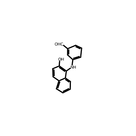 O=Cc1cccc(Nc2c(O)ccc3ccccc23)c1